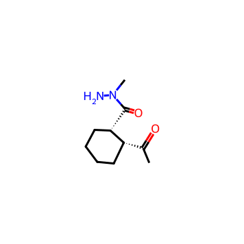 CC(=O)[C@@H]1CCCC[C@@H]1C(=O)N(C)N